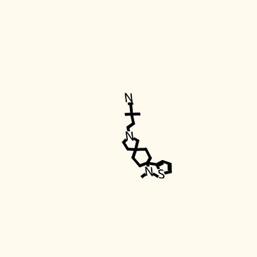 CN(C)C1(c2cccs2)CCC2(CCN(CCC(C)(C)C#N)C2)CC1